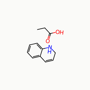 C1=Cc2ccccc2NC1.CCC(=O)O